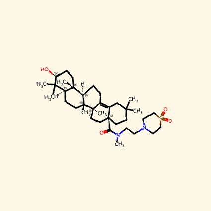 CN(CCN1CCS(=O)(=O)CC1)C(=O)[C@]12CCC(C)(C)CC1=C1CC[C@@H]3[C@@]4(C)CC[C@H](O)C(C)(C)[C@@H]4CC[C@@]3(C)[C@]1(C)CC2